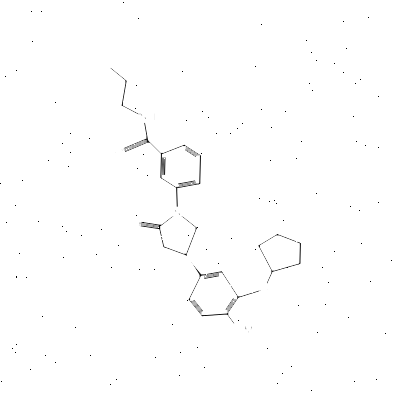 COc1ccc([C@H]2CC(=O)N(c3cccc(C(=O)NCCO)c3)C2)cc1OC1CCCC1